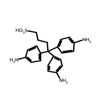 Nc1ccc(C(CCCS(=O)(=O)O)(c2ccc(N)cc2)c2ccc(N)cc2)cc1